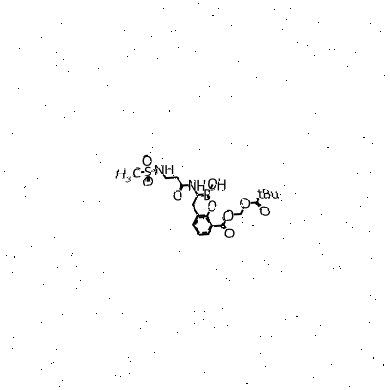 CC(C)(C)C(=O)OCOC(=O)c1cccc2c1OB(O)C(NC(=O)CCNS(C)(=O)=O)C2